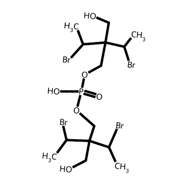 CC(Br)C(CO)(COP(=O)(O)OCC(CO)(C(C)Br)C(C)Br)C(C)Br